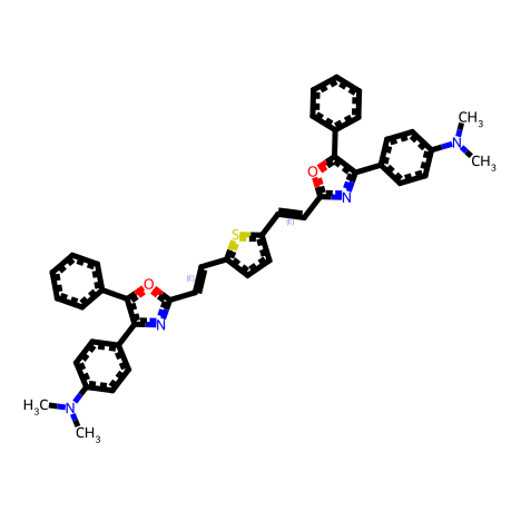 CN(C)c1ccc(-c2nc(/C=C/c3ccc(/C=C/c4nc(-c5ccc(N(C)C)cc5)c(-c5ccccc5)o4)s3)oc2-c2ccccc2)cc1